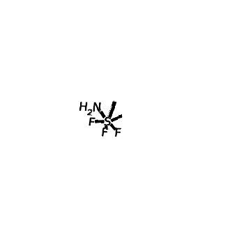 CS(C)(N)(F)(F)F